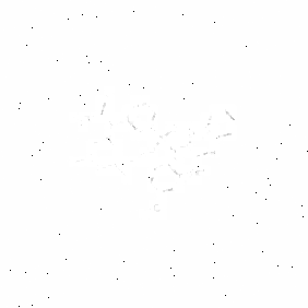 COc1cc(Nc2nc3ccccc3nc2NS(=O)(=O)c2cccc(C(C(N)=O)N3CC(C)OC(C)C3)c2)cc(OC)c1